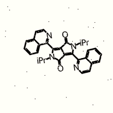 CC(C)N1C(=O)C2=C(c3nccc4ccccc34)N(C(C)C)C(=O)C2=C1c1nccc2ccccc12